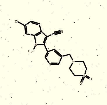 Cn1c(-c2cncc(CN3CCS(=O)(=O)CC3)c2)c(C#N)c2ccc(Cl)cc21